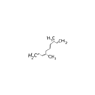 C=CC=C(C)CC=CC(C)C=C